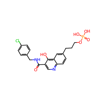 O=C(NCc1ccc(Cl)cc1)c1cnc2ccc(CCCOP(=O)(O)O)cc2c1O